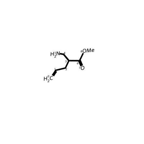 C=CCC(CN)C(=O)OC